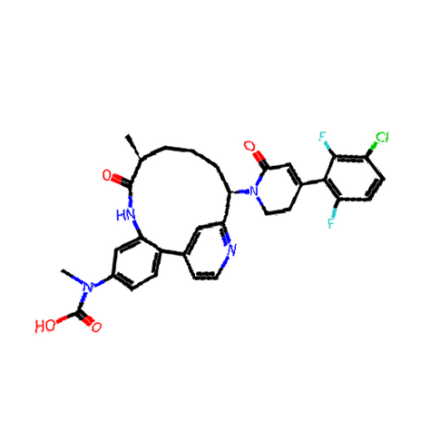 C[C@H]1CCC[C@@H](N2CCC(c3c(F)ccc(Cl)c3F)=CC2=O)c2cc(ccn2)-c2ccc(N(C)C(=O)O)cc2NC1=O